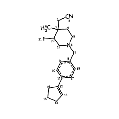 CC1(CC#N)CCN(Cc2ccc(C3=CCCC3)cc2)CC1F